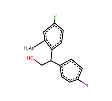 OCC(c1ccc(I)cc1)c1ccc(Cl)cc1[AsH2]